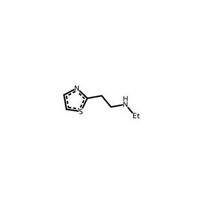 CCNCCc1nccs1